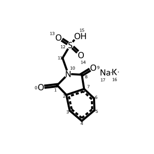 O=C1c2ccccc2C(=O)N1CS(=O)(=O)O.[K].[Na]